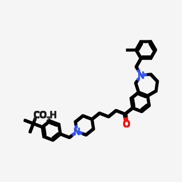 Cc1ccccc1CN1CCCc2ccc(C(=O)CCCC3CCN(Cc4ccc(C(C)(C)C(=O)O)cc4)CC3)cc2C1